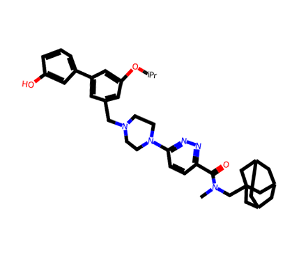 CC(C)Oc1cc(CN2CCN(c3ccc(C(=O)N(C)CC45CC6CC(CC(C6)C4)C5)nn3)CC2)cc(-c2cccc(O)c2)c1